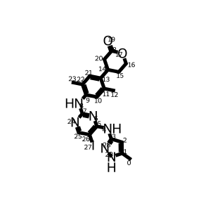 Cc1cc(Nc2nc(Nc3cc(C)c(C4CCOC(=O)C4)cc3C)ncc2I)n[nH]1